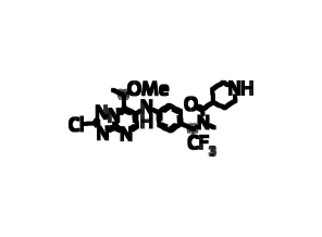 CO[C@@H](C)c1c(Nc2ccc([C@H](N(C)C(=O)C3CCNCC3)C(F)(F)F)cc2)cnc2nc(Cl)nn12